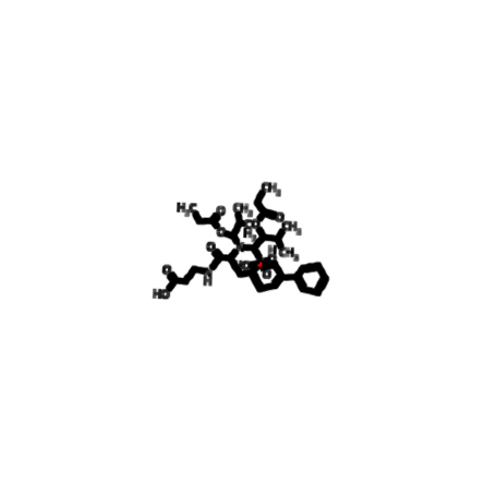 CCC(=O)OC(C(C)C)C(N(C(Cc1ccc(-c2ccccc2)cc1)C(=O)NCCC(=O)O)C(OC(=O)CC)C(C)C)P(=O)(O)O